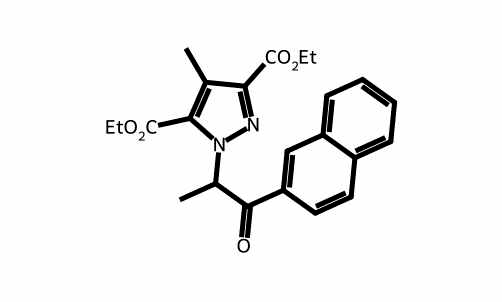 CCOC(=O)c1nn(C(C)C(=O)c2ccc3ccccc3c2)c(C(=O)OCC)c1C